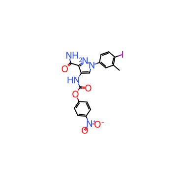 Cc1cc(-n2cc(NC(=O)Oc3ccc([N+](=O)[O-])cc3)c(C(N)=O)n2)ccc1I